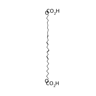 O=C(O)OCCCCCCCCC=CCC=CCC=CCC=CCCCCCCCCOC(=O)O